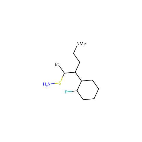 CCC(SN)C(CCNC)C1CCCCC1F